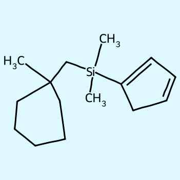 CC1(C[Si](C)(C)C2=CC=CC2)CCCCC1